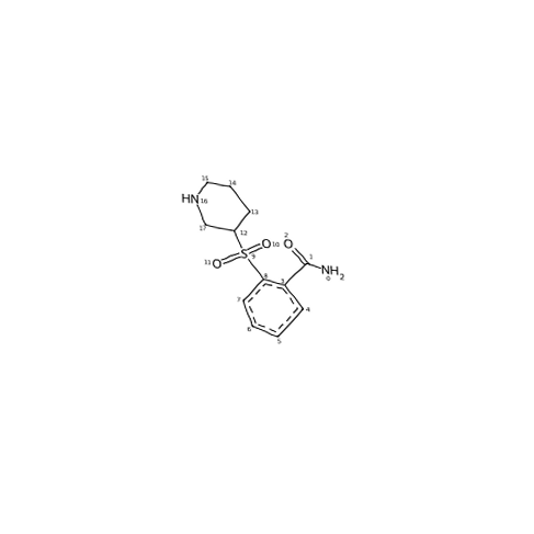 NC(=O)c1ccccc1S(=O)(=O)C1CCCNC1